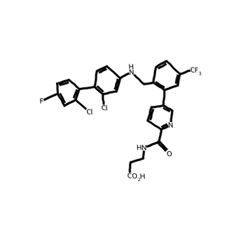 O=C(O)CCNC(=O)c1ccc(-c2cc(C(F)(F)F)ccc2CNc2ccc(-c3ccc(F)cc3Cl)c(Cl)c2)cn1